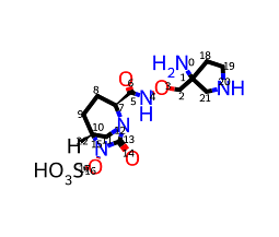 NC1(CONC(=O)[C@@H]2CC[C@@H]3CN2C(=O)N3OS(=O)(=O)O)CCNC1